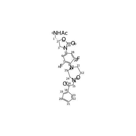 CC(=O)NC[C@H]1CN(c2cc(F)c(N3CCON(CC(=O)c4ccccc4)CC3)c(F)c2)C(=O)O1